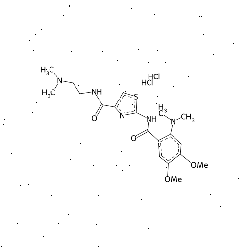 COc1cc(C(=O)Nc2nc(C(=O)NCCN(C)C)cs2)c(N(C)C)cc1OC.Cl.Cl